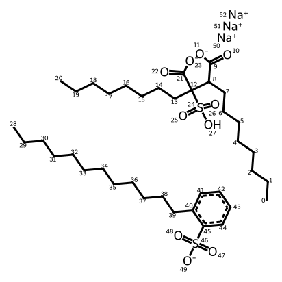 CCCCCCCCC(C(=O)[O-])C(CCCCCCCC)(C(=O)[O-])S(=O)(=O)O.CCCCCCCCCCCCc1ccccc1S(=O)(=O)[O-].[Na+].[Na+].[Na+]